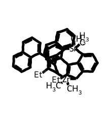 CCC1=C(c2cccc3ccccc23)c2c3cccc2[Si](C)(C)c2cccc4c2C(c2cccc5ccccc25)=C(CC)[CH]4[Zr]([CH3])([CH3])[CH]13